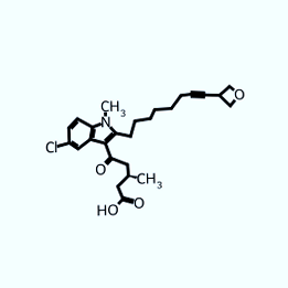 C[C@@H](CC(=O)O)CC(=O)c1c(CCCCCCC#CC2COC2)n(C)c2ccc(Cl)cc12